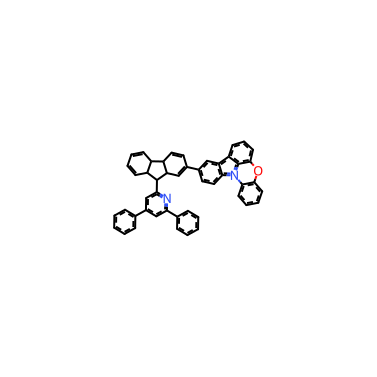 C1=CC2C3C=CC(c4ccc5c(c4)c4cccc6c4n5-c4ccccc4O6)=CC3C(c3cc(-c4ccccc4)cc(-c4ccccc4)n3)C2C=C1